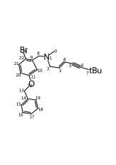 CN(C/C=C/C#CC(C)(C)C)Cc1cc(OCc2ccccc2)ccc1Br